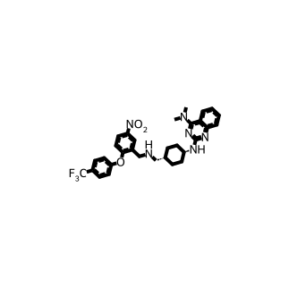 CN(C)c1nc(N[C@H]2CC[C@@H](CNCc3cc([N+](=O)[O-])ccc3Oc3ccc(C(F)(F)F)cc3)CC2)nc2ccccc12